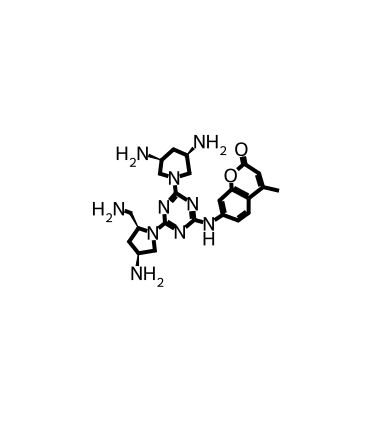 Cc1cc(=O)oc2cc(Nc3nc(N4C[C@H](N)C[C@H](N)C4)nc(N4C[C@@H](N)C[C@H]4CN)n3)ccc12